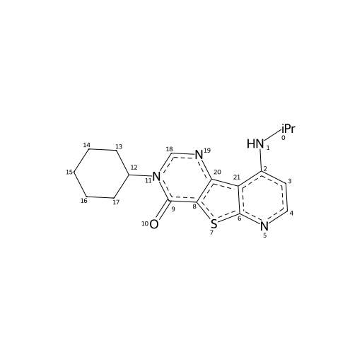 CC(C)Nc1ccnc2sc3c(=O)n(C4CCCCC4)cnc3c12